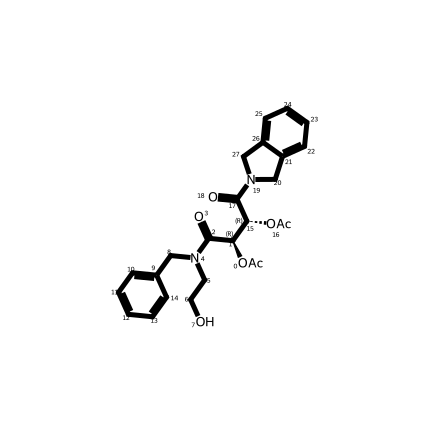 CC(=O)O[C@@H](C(=O)N(CCO)Cc1ccccc1)[C@@H](OC(C)=O)C(=O)N1Cc2ccccc2C1